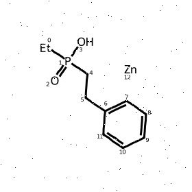 CCP(=O)(O)CCc1ccccc1.[Zn]